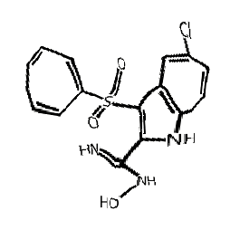 N=C(NO)c1[nH]c2ccc(Cl)cc2c1S(=O)(=O)c1ccccc1